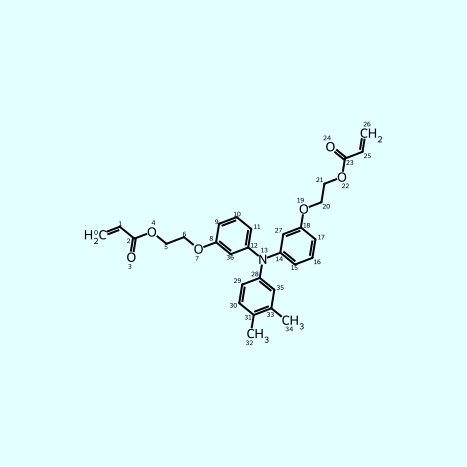 C=CC(=O)OCCOc1cccc(N(c2cccc(OCCOC(=O)C=C)c2)c2ccc(C)c(C)c2)c1